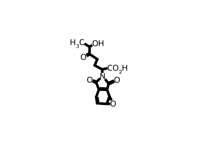 CC(O)C(=O)CCC(C(=O)O)N1C(=O)C2=C(C1=O)C1OC1C=C2